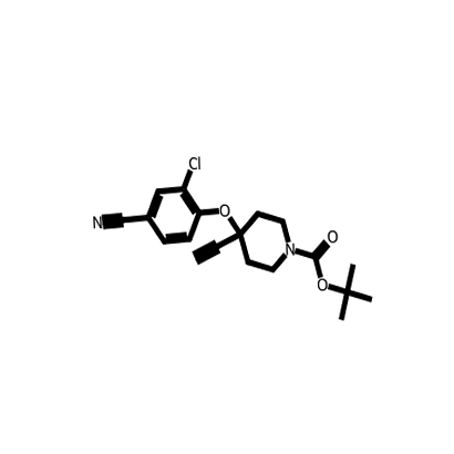 C#CC1(Oc2ccc(C#N)cc2Cl)CCN(C(=O)OC(C)(C)C)CC1